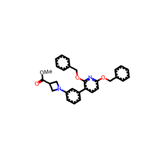 COC(=O)C1CN(c2cccc(-c3ccc(OCc4ccccc4)nc3OCc3ccccc3)c2)C1